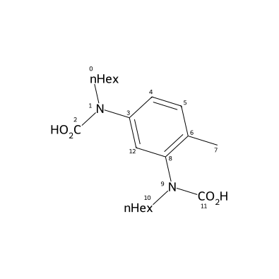 CCCCCCN(C(=O)O)c1ccc(C)c(N(CCCCCC)C(=O)O)c1